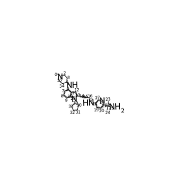 CN1CCC(Nc2cccc3c2cc(C#CCNc2ccc(C(C)(C)N)nc2)n3C2CCCC2)CC1